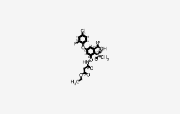 CCOC(=O)CC(=O)NOc1cc(Oc2ccc(Cl)cc2F)cc(C(=O)O)c1S(C)(=O)=O